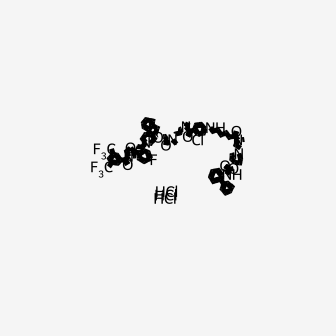 CN(CCN1CCC(OC(=O)Nc2ccccc2-c2ccccc2)CC1)C(=O)CCCCCNc1ccc(C(=O)N(C)CCCN(C)C(=O)CO[C@H]2Cc3ccccc3C23CCN(CC[C@@]2(c4ccc(F)cc4)CN(C(=O)c4cc(C(F)(F)F)cc(C(F)(F)F)c4)CO2)CC3)c(Cl)c1.Cl.Cl.Cl